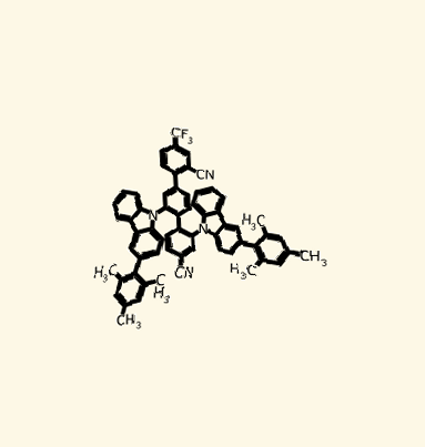 Cc1cc(C)c(-c2ccc3c(c2)c2ccccc2n3-c2cc(C#N)ccc2-c2ccc(-c3ccc(C(F)(F)F)cc3C#N)cc2-n2c3ccccc3c3cc(-c4c(C)cc(C)cc4C)ccc32)c(C)c1